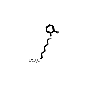 CCOC(=O)CCCCCCOc1ccccc1F